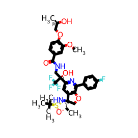 CC[C@@]1(N[S+]([O-])C(C)(C)C)COc2c1cc([C@@](O)(CNC(=O)c1ccc(OC[C@@H](C)O)c(OC)c1)C(F)(F)F)nc2-c1ccc(F)cc1